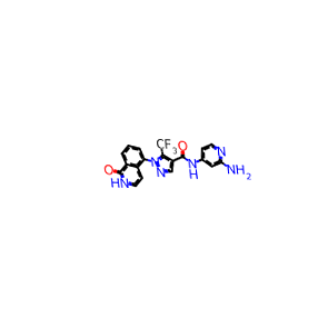 Nc1cc(NC(=O)c2cnn(-c3cccc4c(=O)[nH]ccc34)c2C(F)(F)F)ccn1